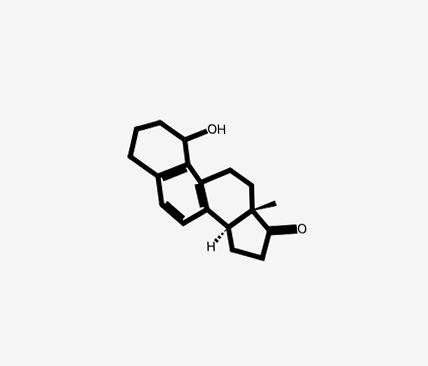 C[C@]12CCc3c(ccc4c3C(O)CCC4)[C@@H]1CCC2=O